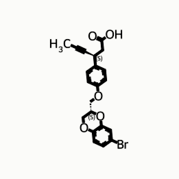 CC#C[C@@H](CC(=O)O)c1ccc(OC[C@H]2COc3ccc(Br)cc3O2)cc1